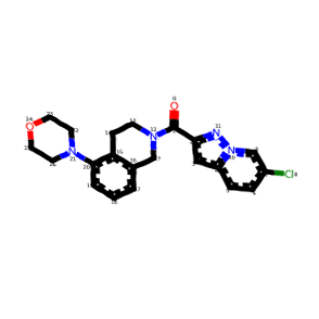 O=C(c1cc2ccc(Cl)cn2n1)N1CCc2c(cccc2N2CCOCC2)C1